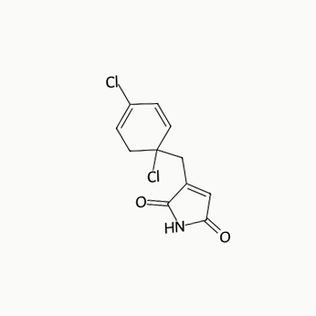 O=C1C=C(CC2(Cl)C=CC(Cl)=CC2)C(=O)N1